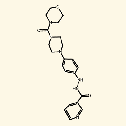 O=C(NNc1ccc(N2CCN(C(=O)N3CCOCC3)CC2)cc1)c1cccnc1